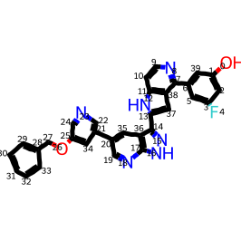 Oc1cc(F)cc(-c2nccc3[nH]c(-c4n[nH]c5ncc(-c6cncc(OCc7ccccc7)c6)cc45)cc23)c1